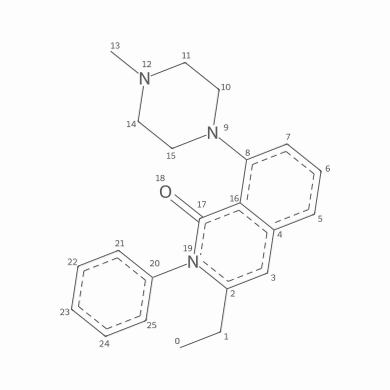 CCc1cc2cccc(N3CCN(C)CC3)c2c(=O)n1-c1ccccc1